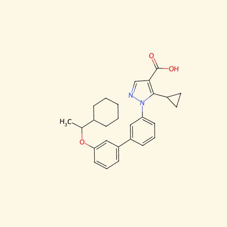 CC(Oc1cccc(-c2cccc(-n3ncc(C(=O)O)c3C3CC3)c2)c1)C1CCCCC1